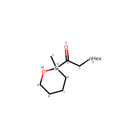 CCCCCCCC(=O)[Si]1(C)CCCCO1